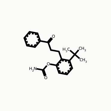 CC(C)(C)c1cccc(OC(N)=O)c1CCC(=O)c1ccccc1